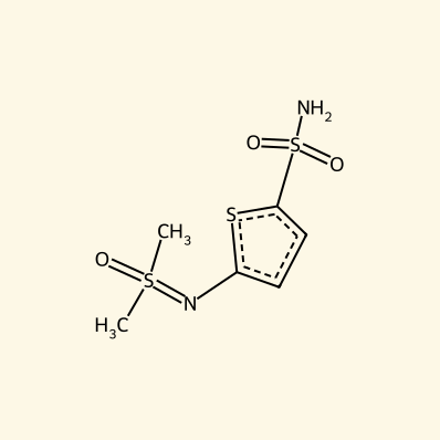 CS(C)(=O)=Nc1ccc(S(N)(=O)=O)s1